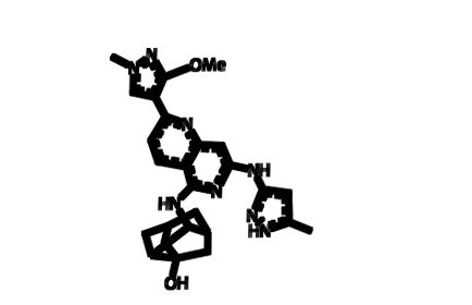 COc1nn(C)cc1-c1ccc2c(NC3C4CC5CC3C(O)(C5)C4)nc(Nc3cc(C)[nH]n3)cc2n1